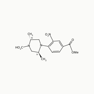 COC(=O)c1ccc(N2C[C@@H](C)N(C(=O)O)C[C@@H]2C)c([N+](=O)[O-])c1